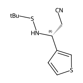 CC(C)(C)SN[C@H](CC#N)c1ccsc1